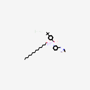 Br.CCCCCCCCCCCCCCOc1cc(C(C)(C)C)ccc1C(=O)Nc1cccc(CN2C=CSC2)c1